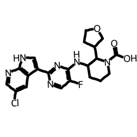 O=C(O)N1CCCC(Nc2nc(-c3c[nH]c4ncc(Cl)cc34)ncc2F)C1C1CCOC1